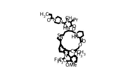 C=CC(=O)N1CCN(C(=O)N(C)C(C(=O)N[C@H]2Cc3nc(cs3)-c3ccc4c(c3)c(c(-c3cccnc3[C@H](C)OC)n4CC(F)(F)F)CC(C)(C)COC(=O)[C@@H]3CCCN(N3)C2=O)C(C)C)CC1